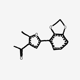 CC(=O)c1cc(-c2cccc3c2OCO3)oc1C